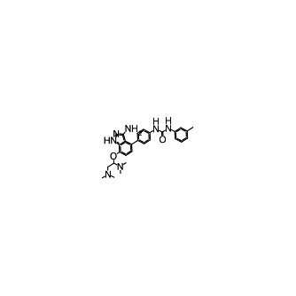 Cc1cccc(NC(=O)Nc2ccc(-c3ccc(OC(CN(C)C)N(C)C)c4[nH]nc(N)c34)cc2)c1